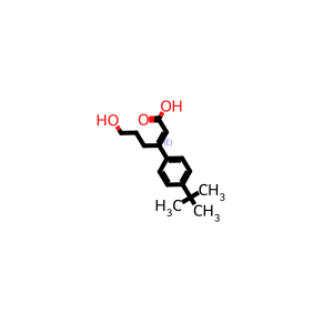 CC(C)(C)c1ccc(/C(=C/C(=O)O)CCCO)cc1